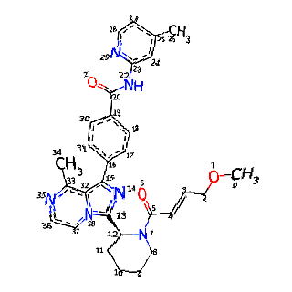 COC/C=C/C(=O)N1CCCC[C@H]1c1nc(-c2ccc(C(=O)Nc3cc(C)ccn3)cc2)c2c(C)nccn12